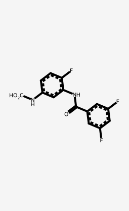 O=C(O)Nc1ccc(F)c(NC(=O)c2cc(F)cc(F)c2)c1